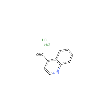 Cl.Cl.O=Cc1ccnc2ccccc12